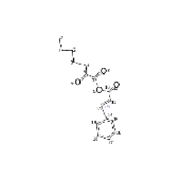 CCCCCC(=O)C(=O)OC(=O)/C=C/c1ccccc1